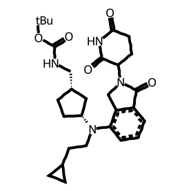 CC(C)(C)OC(=O)NC[C@H]1CC[C@@H](N(CCC2CC2)c2cccc3c2CN(C2CCC(=O)NC2=O)C3=O)C1